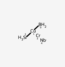 [BH2][Cu][SiH3].[Cr].[Nb]